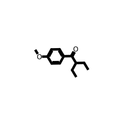 CCC(CC)C(=O)c1ccc(OC)cc1